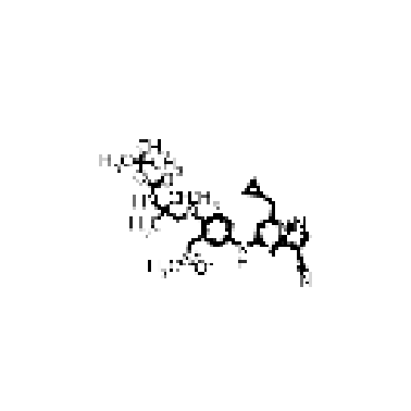 CN(CC(C)(C)NC(=O)OC(C)(C)C)c1ccc(Nc2cc(CC3CC3)n3ncc(C#N)c3n2)cc1C[S+](C)[O-]